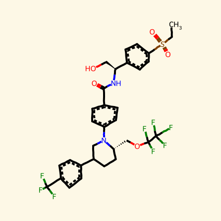 CCS(=O)(=O)c1ccc([C@H](CO)NC(=O)c2ccc(N3CC(c4ccc(C(F)(F)F)cc4)CC[C@H]3COC(F)(F)C(F)(F)F)cc2)cc1